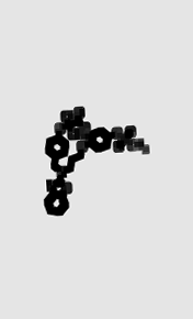 CC(C)(Oc1ccc(CN(CCCOc2ccc(OS(C)(=O)=O)cc2)c2nc3ccccc3o2)cc1)C(=O)O